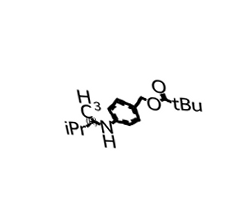 CC(C)[C@@H](C)Nc1ccc(COC(=O)C(C)(C)C)cc1